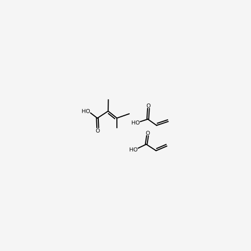 C=CC(=O)O.C=CC(=O)O.CC(C)=C(C)C(=O)O